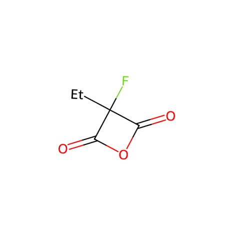 CCC1(F)C(=O)OC1=O